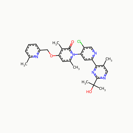 Cc1cccc(COc2cc(C)n(-c3cc(-c4nc(C(C)(C)O)ncc4C)ncc3Cl)c(=O)c2C)n1